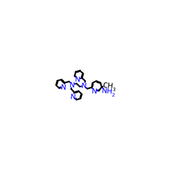 CC1(N)C=CC=C(CN(CCN(Cc2ccccn2)Cc2ccccn2)Cc2ccccn2)N=C1